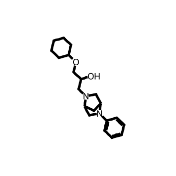 OC(COC1CCCCC1)CN1CC2CC1CN2c1ccccc1